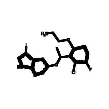 CC(Oc1cnc2[nH]cc(I)c2c1)c1c(OCCN)ccc(F)c1Cl